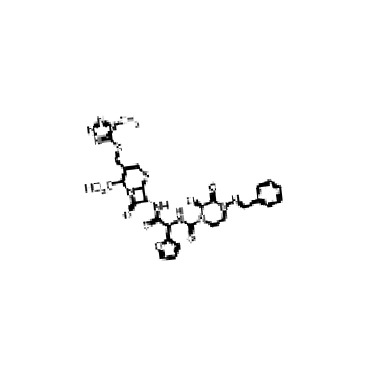 Cn1nnnc1SCC1=C(C(=O)O)N2C(=O)[C@@H](NC(=O)C(NC(=O)N3CCN(N=Cc4ccccc4)C(=O)C3=O)c3ccco3)C2SC1